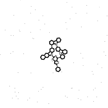 c1ccc(-c2cc3nc(-n4c5ccc(-c6cccc7c8ccccc8n(-c8ccc9oc%10ccccc%10c9c8)c67)cc5c5cc6ccccc6cc54)nc(-c4ccccc4)c3s2)cc1